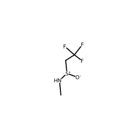 CN[S+]([O-])CC(F)(F)F